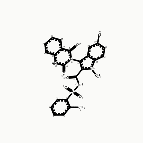 Cc1ccccc1S(=O)(=O)NC(=O)c1c(-n2c(=O)[nH]c3ccccc3c2=O)c2cc(Cl)ccc2n1C